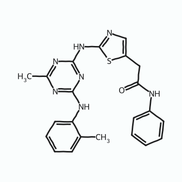 Cc1nc(Nc2ncc(CC(=O)Nc3ccccc3)s2)nc(Nc2ccccc2C)n1